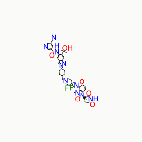 COc1ccc2c(c1N1CC3(CCN(CC4CCC(n5cc6cc(NC(=O)c7cncc(C#N)c7)c(C(C)(C)O)cc6n5)CC4)CC3(F)F)C1)n(C)c(=O)n2[C@@H]1CCC(=O)NC1=O